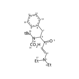 CCN(C=CC(=O)C(Cc1ccccc1)N(C(=O)O)C(C)(C)C)CC